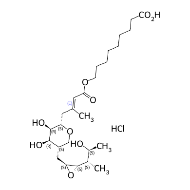 C/C(=C\C(=O)OCCCCCCCCC(=O)O)C[C@@H]1OC[C@H](C[C@@H]2O[C@H]2[C@@H](C)[C@H](C)O)[C@@H](O)[C@H]1O.Cl